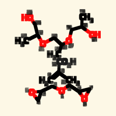 C(OCC1CO1)C1CO1.C=C(C)C(=O)O.CC(O)COC(C)COC(C)CO